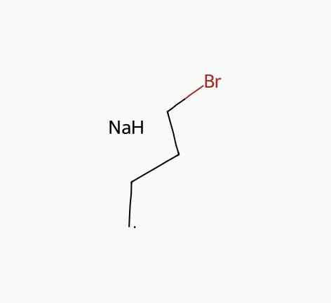 [CH2]CCCBr.[NaH]